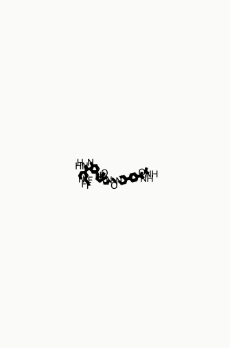 CC(=N)OC(=N)c1ccc(C2=CCN(C(=O)CN3CC[C@]4(CCN(c5ccc(N)c(C(=N)c6ccnc(C(F)(F)F)c6)c5)C4=O)C3)CC2)cc1